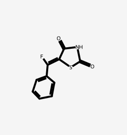 O=C1NC(=O)C(=C(F)c2ccccc2)S1